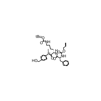 C=CCOC(=O)N[C@@H](Cc1ccccc1)C(=O)N[C@@H](CCCCNC(=O)OC(C)(C)C)C(=O)N(I)c1ccc(CO)cc1